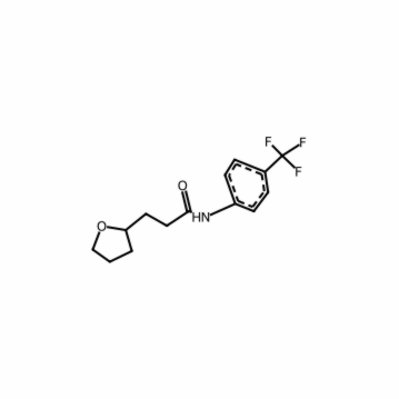 O=C(CCC1CCCO1)Nc1ccc(C(F)(F)F)cc1